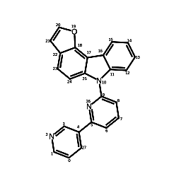 c1cncc(-c2cccc(-n3c4ccccc4c4c5occc5ccc43)n2)c1